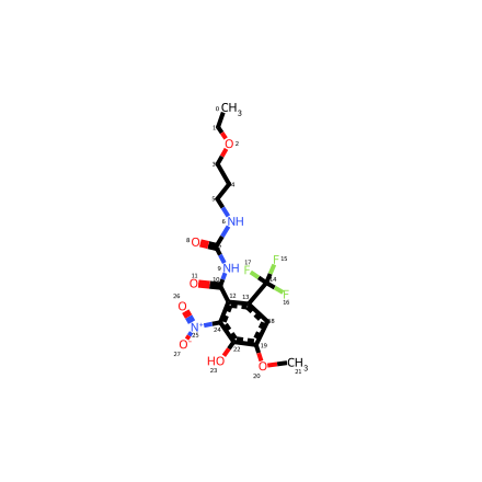 CCOCCCNC(=O)NC(=O)c1c(C(F)(F)F)cc(OC)c(O)c1[N+](=O)[O-]